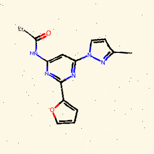 CCC(=O)Nc1cc(-n2ccc(C)n2)nc(-c2ccco2)n1